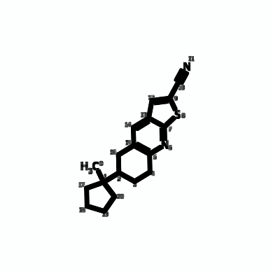 CC1(C2CCc3nc4sc(C#N)cc4cc3C2)CCCC1